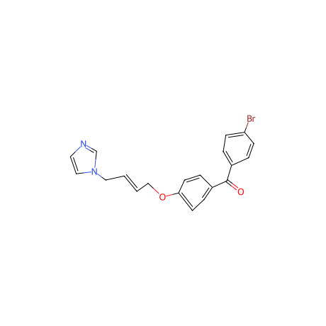 O=C(c1ccc(Br)cc1)c1ccc(OCC=CCn2ccnc2)cc1